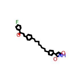 O=C1C=C(c2ccc(CCCCCCCCc3ccc(C=CC(=O)c4ccc(F)cc4)cc3)cc2)C(=O)N1